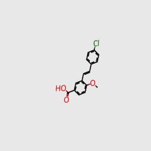 COc1ccc(C(=O)O)cc1C=Cc1ccc(Cl)cc1